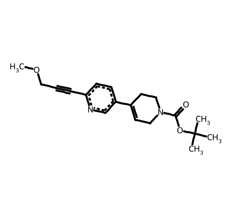 COCC#Cc1ccc(C2=CCN(C(=O)OC(C)(C)C)CC2)cn1